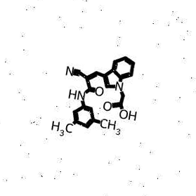 Cc1cc(C)cc(NC(=O)C(C#N)=Cc2cn(CC(=O)O)c3ccccc23)c1